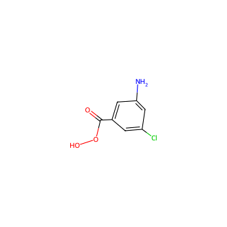 Nc1cc(Cl)cc(C(=O)OO)c1